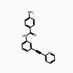 Nc1ccc(C(=O)Nc2cccc(C#Cc3ccccn3)c2)cc1